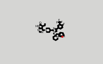 CCC1C(=O)Nc2ncnc(N3CCC(c4nc(-c5ccc(F)c(C(F)(F)F)c5)cn4C[C@@]4(Cc5ccccc5)CCCCN4C(=O)O)CC3)c21